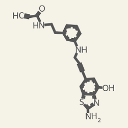 C#CC(=O)NCCc1cccc(NCC#Cc2cc(O)c3nc(N)sc3c2)c1